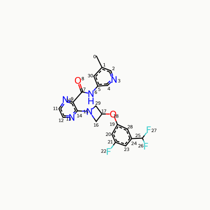 Cc1cncc(NC(=O)c2nccnc2N2CC(Oc3cc(F)cc(C(F)F)c3)C2)c1